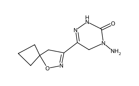 NN1CC(C2=NOC3(CCC3)C2)=NNC1=O